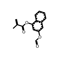 C=C(C)C(=O)Oc1cc(OC=O)cc2ccccc12